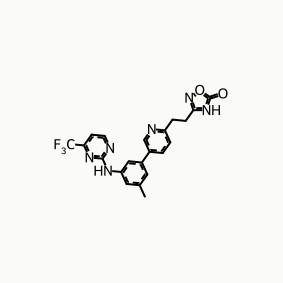 Cc1cc(Nc2nccc(C(F)(F)F)n2)cc(-c2ccc(CCc3noc(=O)[nH]3)nc2)c1